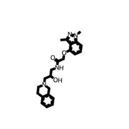 Cc1nn(C)c2cccc(OCC(=O)NCC(O)CN3CCc4ccccc4C3)c12